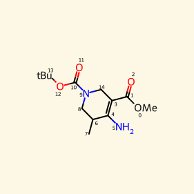 COC(=O)C1=C(N)C(C)CN(C(=O)OC(C)(C)C)C1